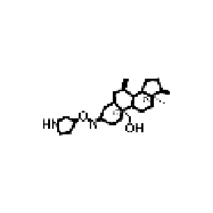 C=C1CC2CC(=NOC3CCNC3)CC[C@]2(CO)C2CC[C@]3(C)C(=C)CCC3C12